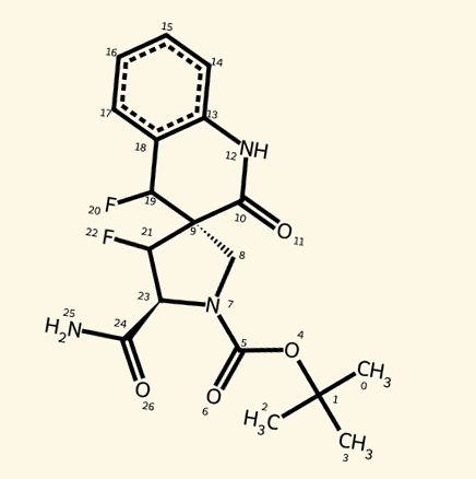 CC(C)(C)OC(=O)N1C[C@]2(C(=O)Nc3ccccc3C2F)C(F)[C@@H]1C(N)=O